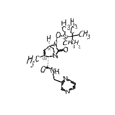 CC1=C[C@@H]2CN(C(=O)N2O[Si](C)(C)C(C)(C)C)[C@@H]1C(=O)NCc1cnccn1